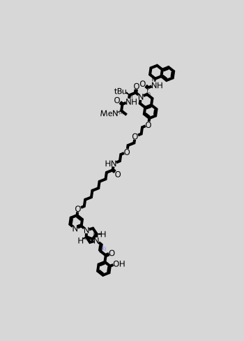 CN[C@@H](C)C(=O)N[C@H](C(=O)N1Cc2cc(OCCOCCOCCNC(=O)CCCCCCCCOc3ccnc(N4C[C@H]5C[C@@H]4CN5/C=C/C(=O)c4ccccc4O)c3)ccc2C[C@H]1C(=O)N[C@@H]1CCCc2ccccc21)C(C)(C)C